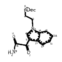 CCCCCCCCCCCCn1cc(C(=O)C(N)=O)c2ccccc21